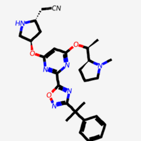 C[C@H](Oc1cc(O[C@H]2CN[C@H](CC#N)C2)nc(-c2nc(C(C)(C)c3ccccc3)no2)n1)[C@@H]1CCCN1C